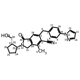 Cc1c(C#N)c(Cc2ccc(-n3cccn3)cc2)cc2c1CN([C@H]1CCC[C@@H]1CO)C2=O